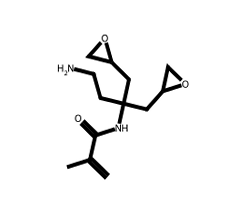 C=C(C)C(=O)NC(CCN)(CC1CO1)CC1CO1